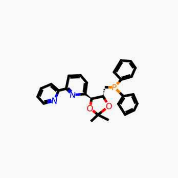 CC1(C)O[C@@H](CP(c2ccccc2)c2ccccc2)[C@H](c2cccc(-c3ccccn3)n2)O1